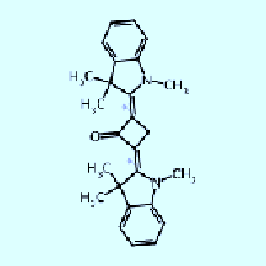 CN1/C(=C2\C/C(=C3\N(C)c4ccccc4C3(C)C)C2=O)C(C)(C)c2ccccc21